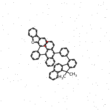 CC1(C)c2cccc(-c3cccc(-c4c5ccccc5c(-c5ccccc5-c5cccc6c5oc5ccccc56)c5ccccc45)c3)c2-c2ccc3ccccc3c21